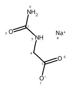 NC(=O)NCC(=O)[O-].[Na+]